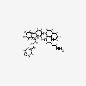 NCCCCN(Cc1nccc2c3ccccc3n(CCCN3CCOCC3)c12)C1CCCc2cccnc21